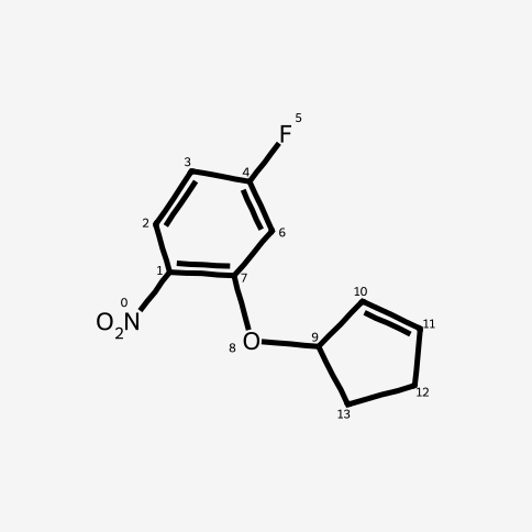 O=[N+]([O-])c1ccc(F)cc1OC1C=CCC1